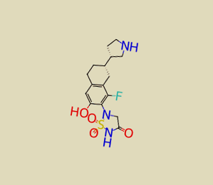 O=C1CN(c2c(O)cc3c(c2F)C[C@@H]([C@@H]2CCNC2)CC3)S(=O)(=O)N1